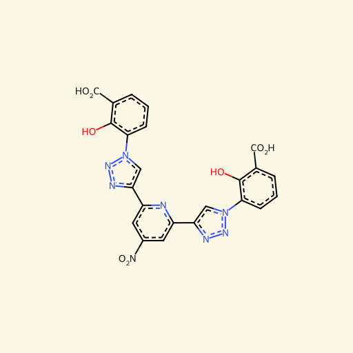 O=C(O)c1cccc(-n2cc(-c3cc([N+](=O)[O-])cc(-c4cn(-c5cccc(C(=O)O)c5O)nn4)n3)nn2)c1O